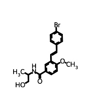 COc1ccc(C(=O)NC(C)CO)cc1C=Cc1ccc(Br)cc1